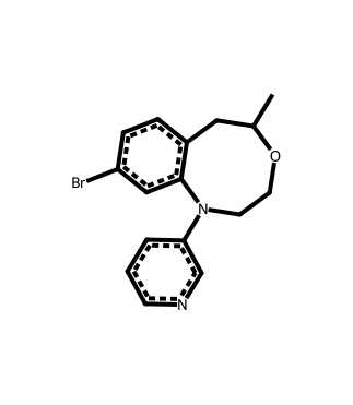 CC1Cc2ccc(Br)cc2N(c2cccnc2)CCO1